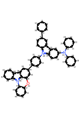 c1ccc(-c2ccc3c(c2)c2cc(N(c4ccccc4)c4ccccc4)ccc2n3-c2ccc(-c3cc4c5c(c3)c3ccccc3n5-c3ccccc3O4)cc2)cc1